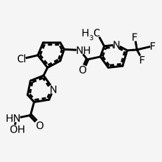 Cc1nc(C(F)(F)F)ccc1C(=O)Nc1ccc(Cl)c(-c2ccc(C(=O)NO)cn2)c1